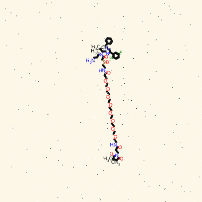 CC1(C)CC(=O)N(CCC(=O)NCCOCCOCCOCCOCCOCCOCCOCCOCCC(=O)NCC[S+]([O-])CC(=O)N(CCCN)C(c2nc(-c3cc(F)ccc3F)cn2Cc2ccccc2)C(C)(C)C)C1=O